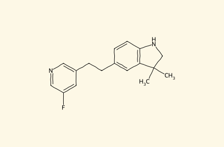 CC1(C)CNc2ccc(CCc3cncc(F)c3)cc21